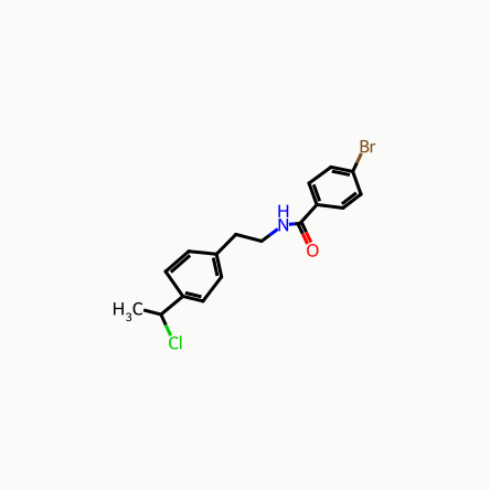 CC(Cl)c1ccc(CCNC(=O)c2ccc(Br)cc2)cc1